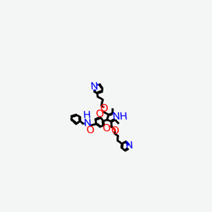 CC1=C(C(=O)OCCCc2cccnc2)C(c2ccc(C(=O)NCc3ccccc3)cc2)C(C(=O)OCCCc2cccnc2)=C(C)N1